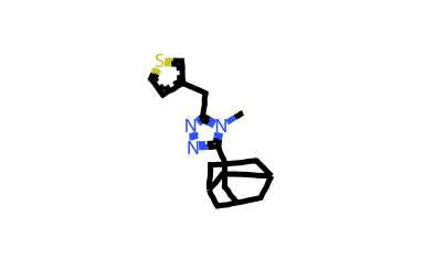 Cn1c(Cc2ccsc2)nnc1C12CC3CC(CC(C3)C1)C2